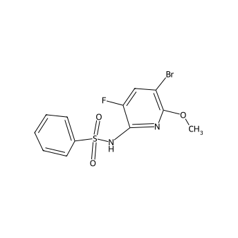 COc1nc(NS(=O)(=O)c2ccccc2)c(F)cc1Br